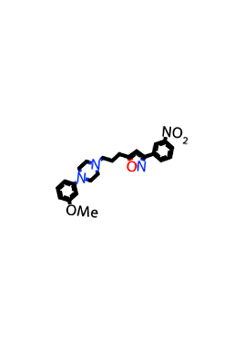 COc1cccc(N2CCN(CCCc3cc(-c4cccc([N+](=O)[O-])c4)no3)CC2)c1